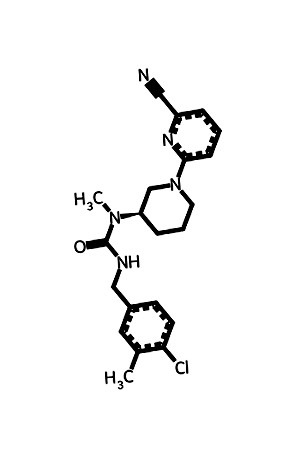 Cc1cc(CNC(=O)N(C)[C@@H]2CCCN(c3cccc(C#N)n3)C2)ccc1Cl